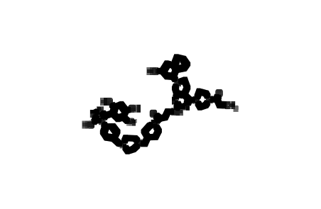 C=CC(=O)N1CCN(c2nc(NCCC(=O)N3CCC(CN4CCN(Cc5ccc(-n6c(O)nnc6-c6cc(C(C)C)c(O)cc6O)cc5)CC4)CC3)nc3c2CCN(c2cc(O)cc4ccccc24)C3)CC1